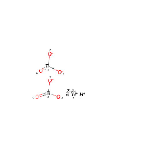 [H+].[H+].[O]=[Ti]([O-])[O-].[O]=[Ti]([O-])[O-].[Zn+2]